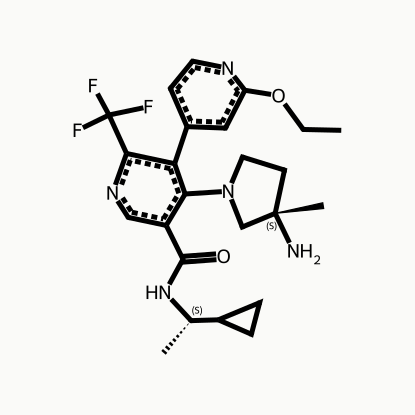 CCOc1cc(-c2c(C(F)(F)F)ncc(C(=O)N[C@@H](C)C3CC3)c2N2CC[C@](C)(N)C2)ccn1